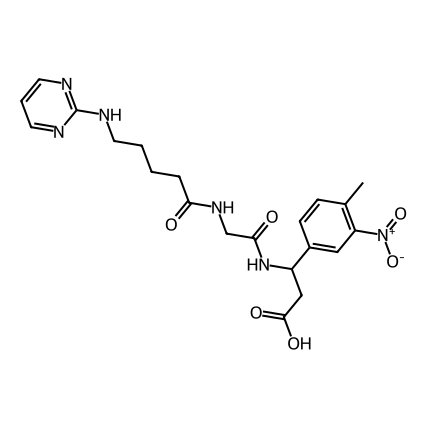 Cc1ccc(C(CC(=O)O)NC(=O)CNC(=O)CCCCNc2ncccn2)cc1[N+](=O)[O-]